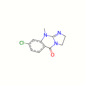 CN1C2=NCCN2C(=O)c2ccc(Cl)cc21